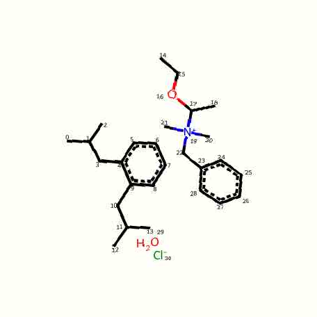 CC(C)Cc1ccccc1CC(C)C.CCOC(C)[N+](C)(C)Cc1ccccc1.O.[Cl-]